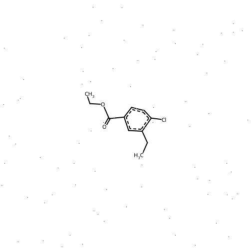 CCOC(=O)c1ccc(Cl)c(CC)c1